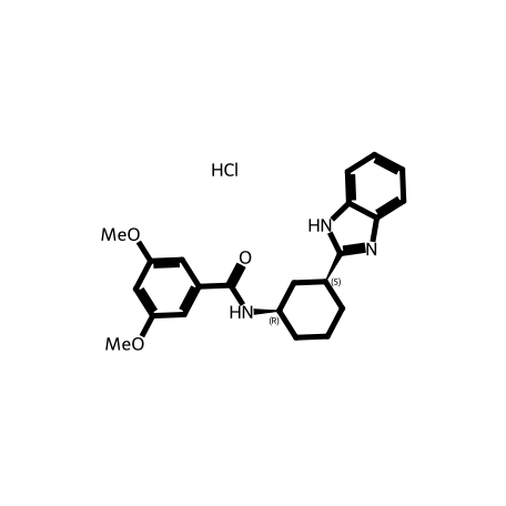 COc1cc(OC)cc(C(=O)N[C@@H]2CCC[C@H](c3nc4ccccc4[nH]3)C2)c1.Cl